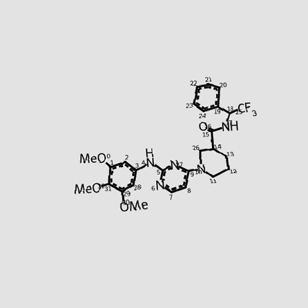 COc1cc(Nc2nccc(N3CCCC(C(=O)NC(c4ccccc4)C(F)(F)F)C3)n2)cc(OC)c1OC